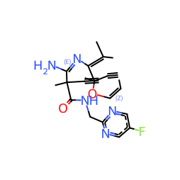 C#CC(C)(O/C=C\C)C(/N=C(/N)C(C)(C#C)C(=O)NCc1ncc(F)cn1)=C(C)C